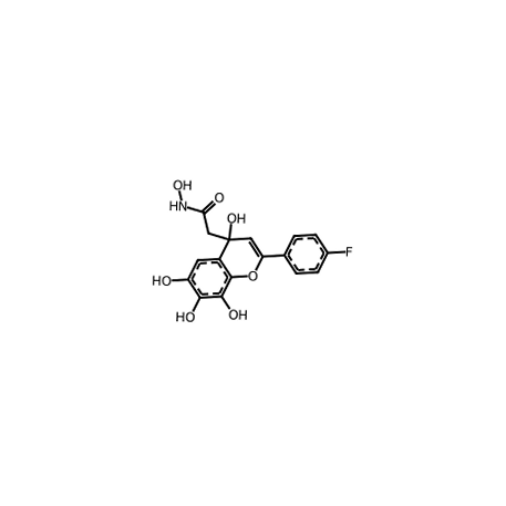 O=C(CC1(O)C=C(c2ccc(F)cc2)Oc2c1cc(O)c(O)c2O)NO